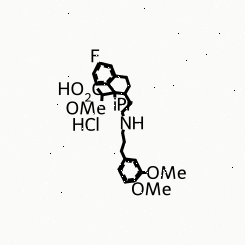 COc1ccc(CCCNCCC2CCc3cc(F)ccc3C2(C(C)C)C(OC)C(=O)O)cc1OC.Cl